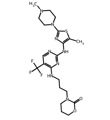 Cc1sc(N2CCN(C)CC2)nc1Nc1ncc(C(F)(F)F)c(NCCCN2CCCOC2=O)n1